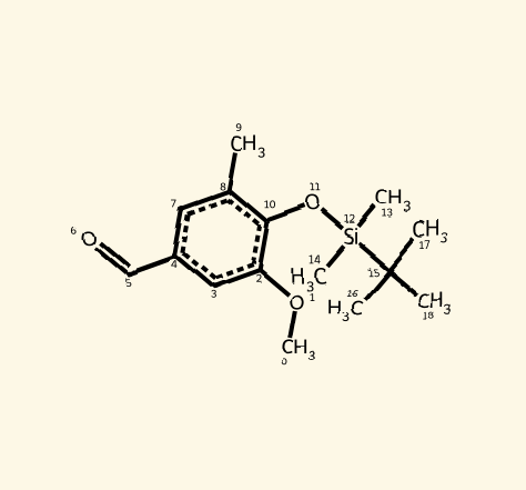 COc1cc(C=O)cc(C)c1O[Si](C)(C)C(C)(C)C